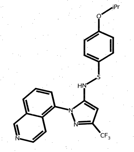 CC(C)Oc1ccc(SNc2cc(C(F)(F)F)nn2-c2cccc3cnccc23)cc1